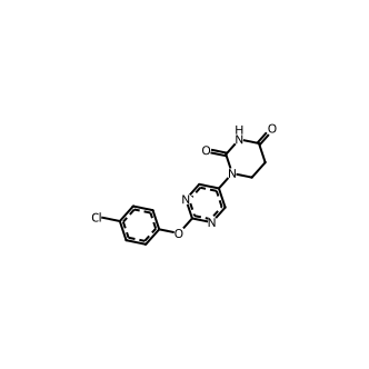 O=C1CCN(c2cnc(Oc3ccc(Cl)cc3)nc2)C(=O)N1